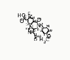 COc1ccc(CN2Cc3c(C4CC4)ncn3-c3cc(C(=O)O)c(F)cc3C2=O)cc1